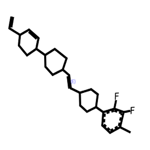 C=CC1C=CC(C2CCC(/C=C/C3CCC(c4ccc(C)c(F)c4F)CC3)CC2)CC1